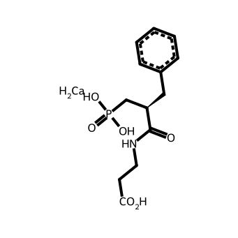 O=C(O)CCNC(=O)[C@H](Cc1ccccc1)CP(=O)(O)O.[CaH2]